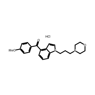 COc1ccc(C(=O)c2cccc3c2ccn3CCCN2CCOCC2)cc1.Cl